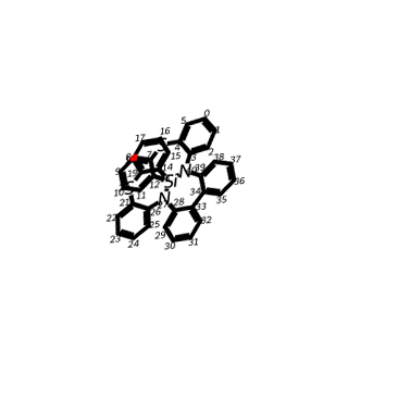 c1ccc2c(c1)Sc1ccccc1[Si]13c4ccccc4Sc4ccccc4N1c1ccccc1-c1ccccc1N23